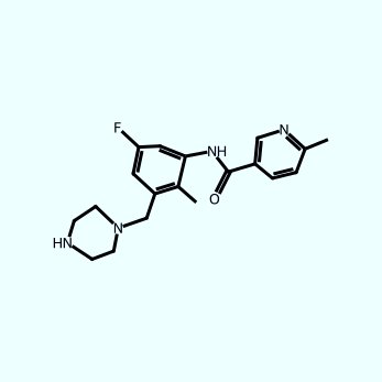 Cc1ccc(C(=O)Nc2cc(F)cc(CN3CCNCC3)c2C)cn1